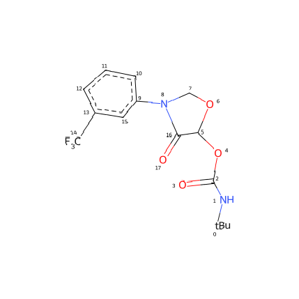 CC(C)(C)NC(=O)OC1OCN(c2cccc(C(F)(F)F)c2)C1=O